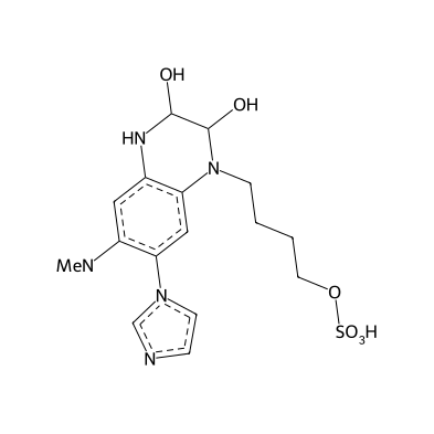 CNc1cc2c(cc1-n1ccnc1)N(CCCCOS(=O)(=O)O)C(O)C(O)N2